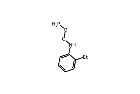 CCc1ccccc1NOOP